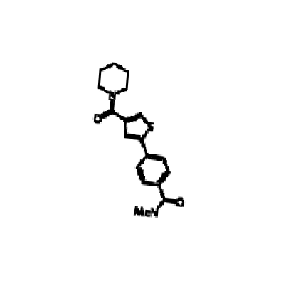 CNC(=O)c1ccc(-c2cc(C(=O)N3CCCCC3)cs2)cc1